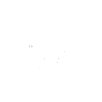 Cc1c(C=O)c(C)n(C)c1C